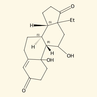 CCC12CC(O)[C@H]3[C@@H](CCC4=CC(=O)CCC43O)[C@@H]1CCC2=O